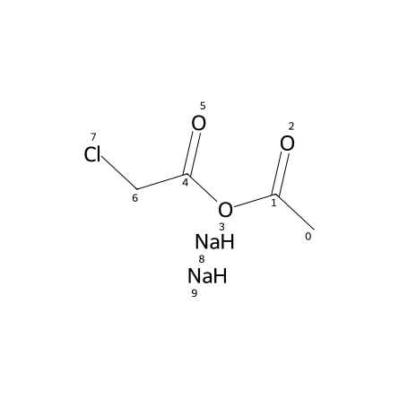 CC(=O)OC(=O)CCl.[NaH].[NaH]